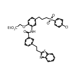 CCOC(=O)COc1ccc(CCCS(=O)(=O)c2ccc(Cl)cc2)cc1NC(=O)c1cccc(CCc2nc3ccccc3s2)c1